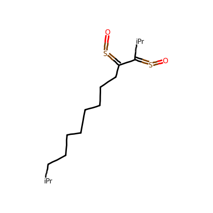 CC(C)CCCCCCCCC(=S=O)C(=S=O)C(C)C